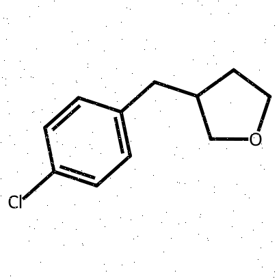 Clc1ccc(CC2CCOC2)cc1